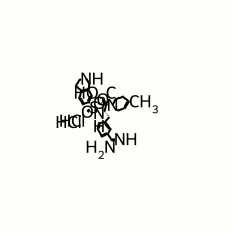 CC1=CCN(C(=O)[C@H](Cc2cccc(C(=N)N)c2)NS(=O)(=O)c2ccc3c(c2)CNCC3)[C@@H](C(=O)O)C1.Cl.Cl